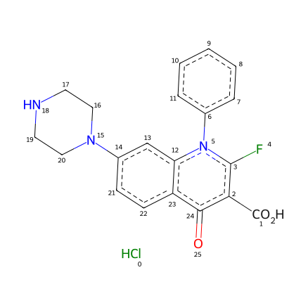 Cl.O=C(O)c1c(F)n(-c2ccccc2)c2cc(N3CCNCC3)ccc2c1=O